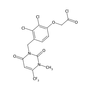 Cn1c(C(F)(F)F)cc(=O)n(Cc2ccc(OCC(=O)Cl)c(Cl)c2Cl)c1=O